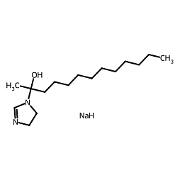 CCCCCCCCCCCC(C)(O)N1C=NCC1.[NaH]